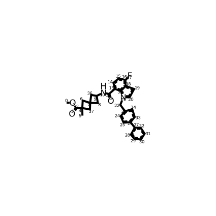 COC(=O)C1(C)CC2(CC(NC(=O)c3ccc(F)c4ccn(Cc5ccc(-c6ccccc6)cc5)c34)C2)C1